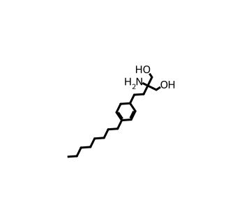 CCCCCCCCC1=CCC(CCC(N)(CO)CO)C=C1